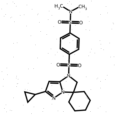 CN(C)S(=O)(=O)c1ccc(S(=O)(=O)N2CC3(CCCCC3)n3nc(C4CC4)cc32)cc1